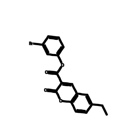 CCc1ccc2oc(=O)c(C(=O)Oc3cccc(Br)c3)cc2c1